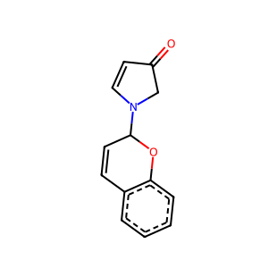 O=C1C=CN(C2C=Cc3ccccc3O2)C1